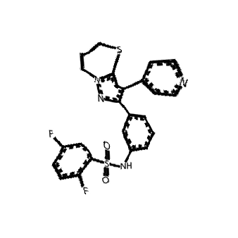 O=S(=O)(Nc1cccc(-c2nn3c(c2-c2ccncc2)SCCC3)c1)c1cc(F)ccc1F